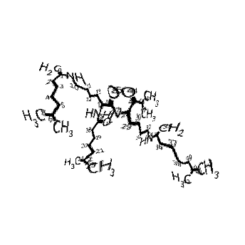 C=C(CCCCC(C)C)NCCCCC(NC(=O)CCCCC(C)C)C(=O)NC(CCCCNC(=C)CCCCC(C)C)C(=O)C(C)C